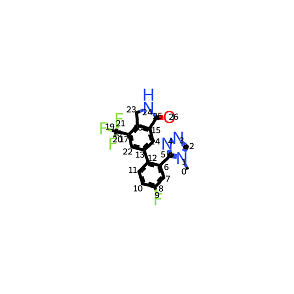 Cn1cnnc1-c1cc(F)ccc1-c1cc2c(c(C(F)(F)F)c1)CNC2=O